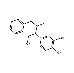 CN(Cc1ccccc1)C(CO)c1ccc(O)c(O)c1